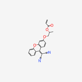 C=CC(=O)OC(C)COc1ccc2c(c1)Oc1ccccc1C2=C(C#N)C#N